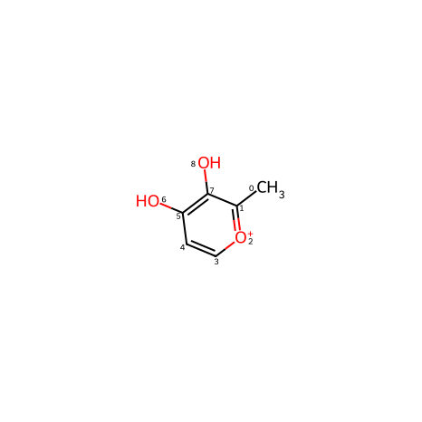 Cc1[o+]ccc(O)c1O